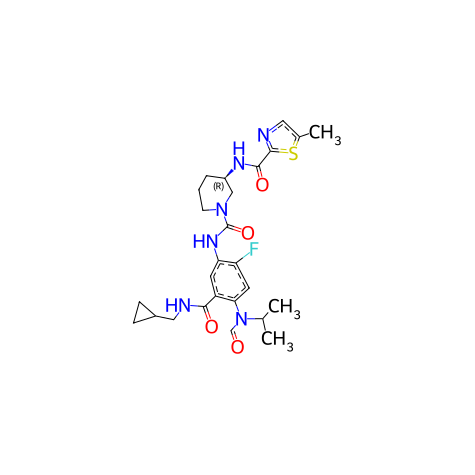 Cc1cnc(C(=O)N[C@@H]2CCCN(C(=O)Nc3cc(C(=O)NCC4CC4)c(N(C=O)C(C)C)cc3F)C2)s1